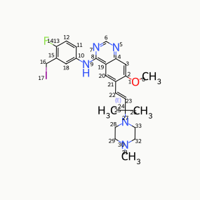 COc1cc2ncnc(Nc3ccc(F)c(CI)c3)c2cc1/C=C/C(C)(C)N1CCN(C)CC1